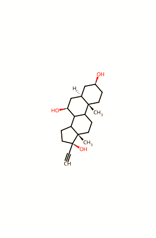 C#C[C@]1(O)CCC2C3C(CC[C@@]21C)[C@@]1(C)CC[C@H](O)C[C@@H]1C[C@@H]3O